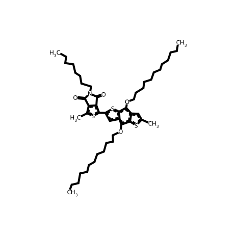 CCCCCCCCCCCCOc1c2cc(-c3sc(C)c4c3C(=O)N(CCCCCCCC)C4=O)sc2c(OCCCCCCCCCCCC)c2cc(C)sc12